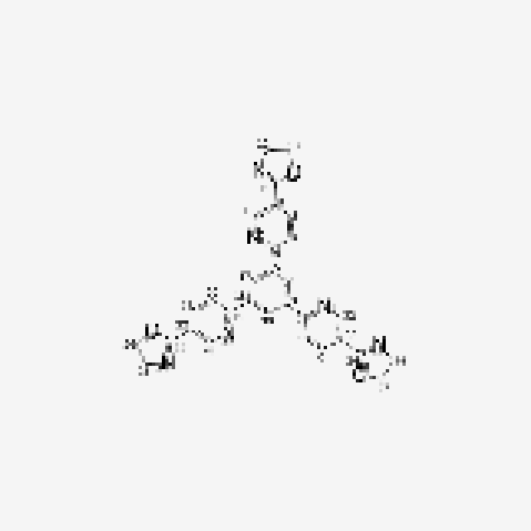 c1cc(-c2cc(-c3ccc(C4=NCCO4)cn3)cc(-c3ccc(C4=NCCO4)cn3)c2)ncc1C1=NCCO1